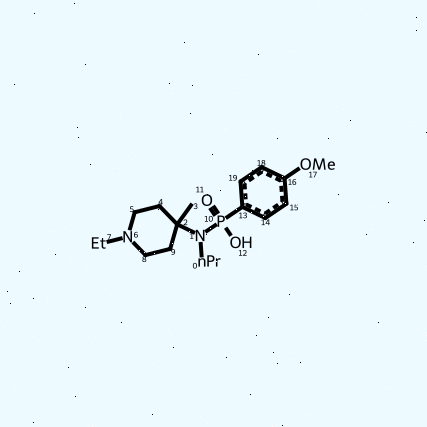 CCCN(C1(C)CCN(CC)CC1)P(=O)(O)c1ccc(OC)cc1